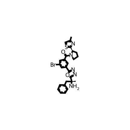 Cc1csc([C@H]2CCCN2C(=O)c2cc(Br)cc(-c3nnc([C@](C)(N)Cc4ccccc4)o3)c2)n1